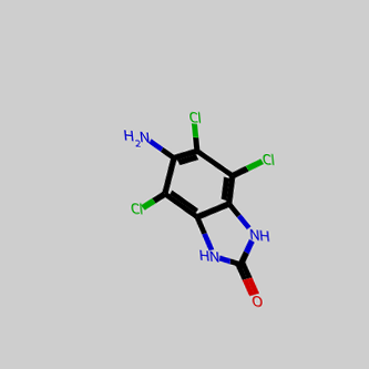 Nc1c(Cl)c(Cl)c2[nH]c(=O)[nH]c2c1Cl